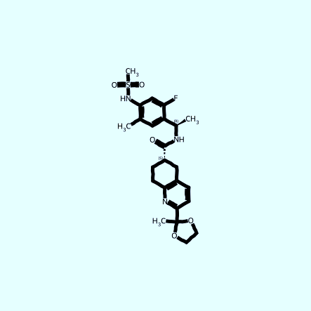 Cc1cc([C@@H](C)NC(=O)[C@H]2CCc3nc(C4(C)OCCO4)ccc3C2)c(F)cc1NS(C)(=O)=O